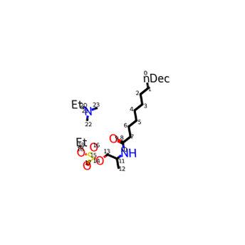 CCCCCCCCCCCCCCCCCC(=O)NC(C)COS(=O)(=O)OCC.CCN(C)C